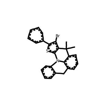 CC1(C)c2cccc3c2N(c2ccccc2C3)c2sc(-c3ccccc3)c(Br)c21